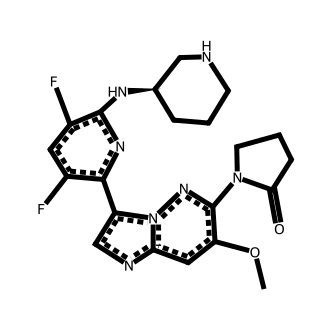 COc1cc2ncc(-c3nc(N[C@@H]4CCCNC4)c(F)cc3F)n2nc1N1CCCC1=O